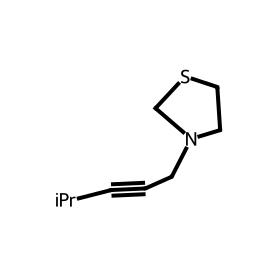 CC(C)C#CCN1CCSC1